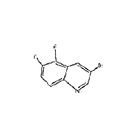 Fc1ccc2ncc(Br)cc2c1F